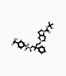 CN(CC(C)(CCN1CCC2C(CCN2C(=O)OC(C)(C)C)C1)c1ccccc1)S(=O)(=O)c1ccc(C(=O)O)cc1